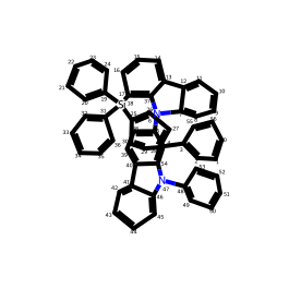 c1ccc(-c2c(-n3c4ccccc4c4cccc([Si](c5ccccc5)(c5ccccc5)c5ccccc5)c43)ccc3c4ccccc4n(-c4ccccc4)c23)cc1